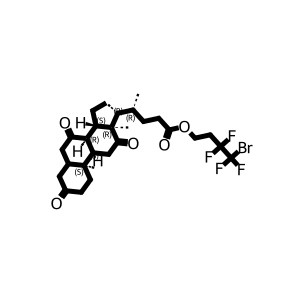 C[C@H](CCC(=O)OCCC(F)(F)C(F)(F)Br)[C@H]1CC[C@H]2[C@@H]3C(=O)CC4CC(=O)CC[C@]4(C)[C@H]3CC(=O)[C@]12C